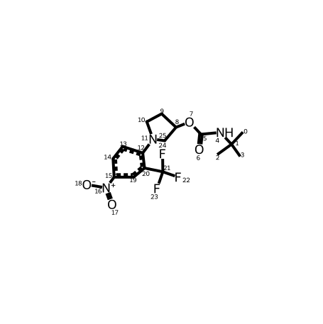 CC(C)(C)NC(=O)OC1CCN(c2ccc([N+](=O)[O-])cc2C(F)(F)F)C1